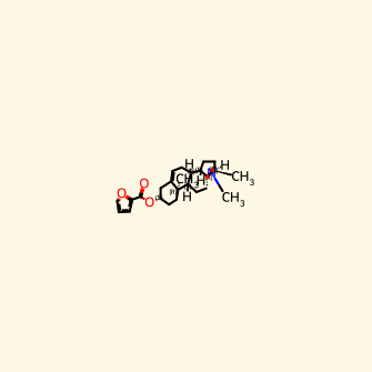 C[C@H]1[C@H]2CC[C@H]3[C@@H]4CC=C5C[C@@H](OC(=O)c6ccco6)CC[C@]5(C)[C@H]4CC[C@]23CN1C